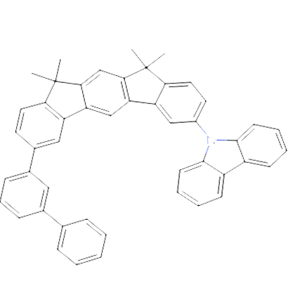 CC1(C)c2ccc(-c3cccc(-c4ccccc4)c3)cc2-c2cc3c(cc21)C(C)(C)c1ccc(-n2c4ccccc4c4ccccc42)cc1-3